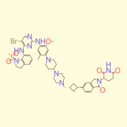 COc1cc(N2CCC(N3CCN(C[C@H]4C[C@H](c5ccc6c(c5)CN(C5CCC(=O)NC5=O)C6=O)C4)CC3)CC2)c(C)cc1Nc1ncc(Br)c(Nc2cccc3c2N(S(C)(=O)=O)CC3)n1